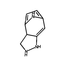 C1=C2NNCC2c2ccc1[nH]2